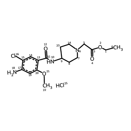 CCOC(=O)CN1CCC(NC(=O)c2cc(Cl)c(N)cc2OC)CC1.Cl